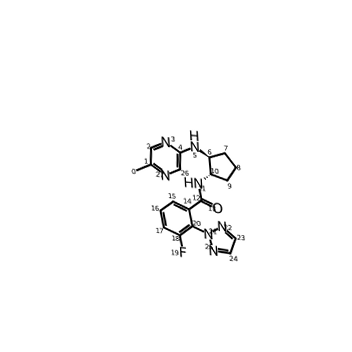 Cc1cnc(N[C@H]2CCC[C@@H]2NC(=O)c2cccc(F)c2-n2nccn2)cn1